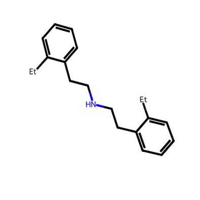 CCc1ccccc1CCNCCc1ccccc1CC